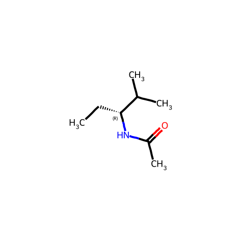 CC[C@@H](NC(C)=O)C(C)C